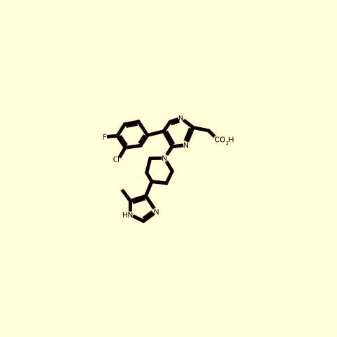 Cc1[nH]cnc1C1CCN(c2nc(CC(=O)O)ncc2-c2ccc(F)c(Cl)c2)CC1